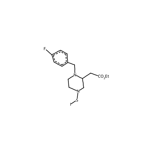 CCOC(=O)CC1CN(SI)CCN1Cc1ccc(F)cc1